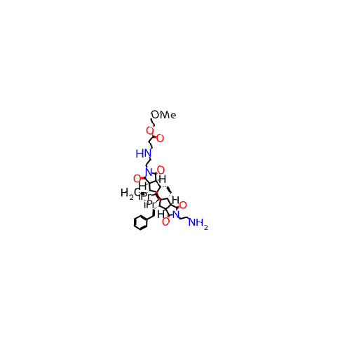 C=C[C@H]1C(=CC(C)C)[C@@H](/C=C\[C@H]2C(=CC(C)C)[C@@H](C=Cc3ccccc3)[C@@H]3C(=O)N(CCN)C(=O)[C@@H]32)[C@@H]2C(=O)N(CCNCCC(=O)OCCOC)C(=O)[C@@H]21